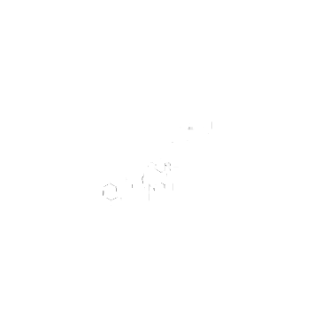 C=C(NC(=O)OCc1ccccc1)C(=O)NCCCCCC(=O)O